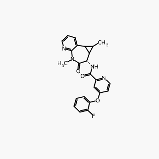 CC1C2c3cccnc3N(C)C(=O)[C@@H](NC(=O)c3cc(Oc4ccccc4F)ccn3)C12